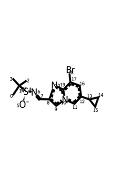 CC(C)(C)[S@@+]([O-])N=Cc1cn2cc(C3CC3)cc(Br)c2n1